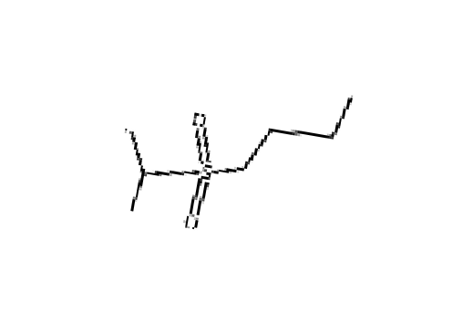 [CH2]C(C)S(=O)(=O)CCCC